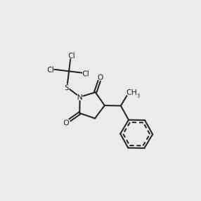 CC(c1ccccc1)C1CC(=O)N(SC(Cl)(Cl)Cl)C1=O